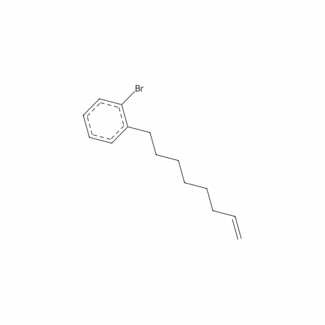 C=CCCCCCCc1ccccc1Br